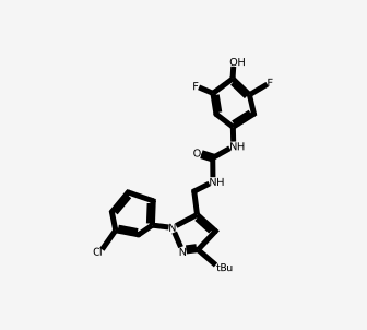 CC(C)(C)c1cc(CNC(=O)Nc2cc(F)c(O)c(F)c2)n(-c2cccc(Cl)c2)n1